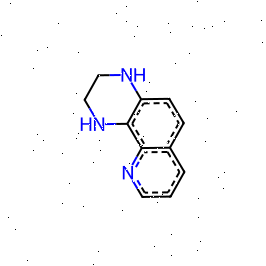 c1cnc2c3c(ccc2c1)NCCN3